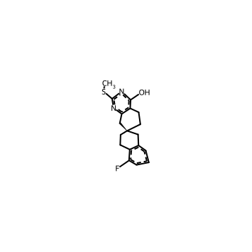 CSc1nc(O)c2c(n1)C[C@@]1(CCc3c(F)cccc3C1)CC2